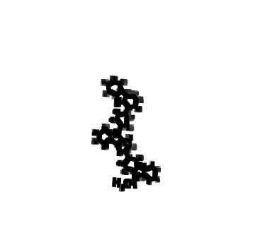 CCn1c2ccccc2c2cc(-c3ccc4c(c3)c3ccccc3n4-c3ccc(-c4cccc5c4sc4ccccc45)cc3)ccc21